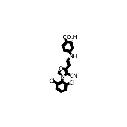 N#CC1=C(C=CNc2ccc(C(=O)O)cc2)OCN1c1c(Cl)cccc1Cl